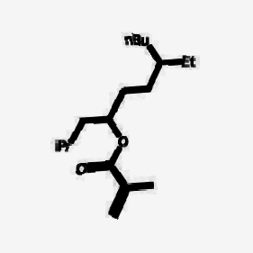 C=C(C)C(=O)OC(CCC(CC)CCCC)CC(C)C